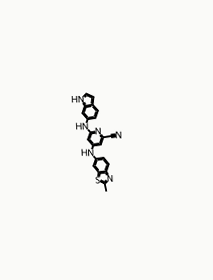 Cc1nc2ccc(Nc3cc(C#N)nc(Nc4ccc5cc[nH]c5c4)c3)cc2s1